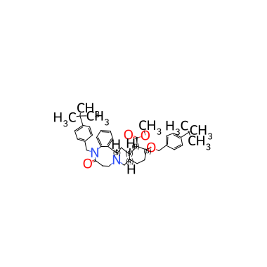 COC(=O)[C@@H]1[C@H]2C[C@H]3c4ccccc4N(Cc4ccc(C(C)(C)C)cc4)C(=O)CCN3C[C@@H]2CC[C@@H]1OCc1ccc(C(C)(C)C)cc1